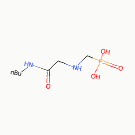 CCCCNC(=O)CNCP(=O)(O)O